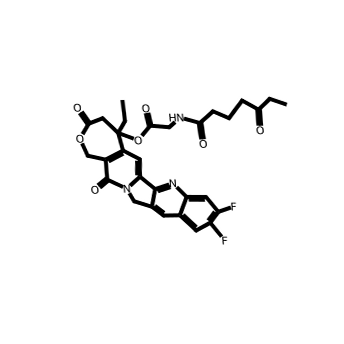 CCC(=O)CCCC(=O)NCC(=O)OC1(CC)CC(=O)OCc2c1cc1n(c2=O)Cc2cc3cc(F)c(F)cc3nc2-1